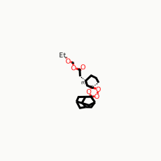 CCOCOC(=O)C[C@@H]1CCC[C@]2(C1)OOC1(O2)C2CC3CC(C2)CC1C3